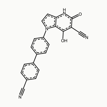 N#Cc1ccc(-c2ccc(-n3ccc4[nH]c(=O)c(C#N)c(O)c43)cc2)cc1